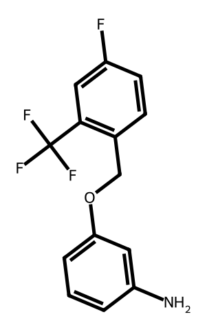 Nc1cccc(OCc2ccc(F)cc2C(F)(F)F)c1